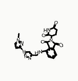 Cn1ccc(-n2cc(CNc3cccc4c3C(=O)N(C3CCC(=O)NC3=O)C4=O)nn2)n1